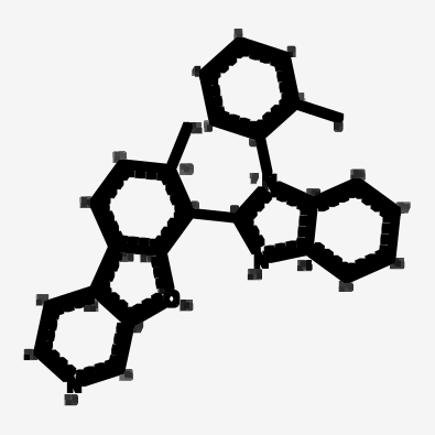 Cc1ccccc1-n1c(-c2c(C)ccc3c2oc2cnccc23)nc2ccccc21